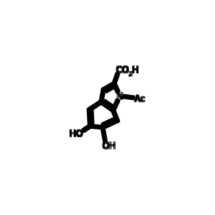 CC(=O)n1c(C(=O)O)cc2cc(O)c(O)cc21